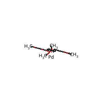 CCCCCCCCCCCCCCCCCCc1ccc(/N=C(CCCCC)/C(CCCCCCCC)=N/c2ccc(CCCCCCCCCCCCCCCCCC)cc2)cc1.[Pd]